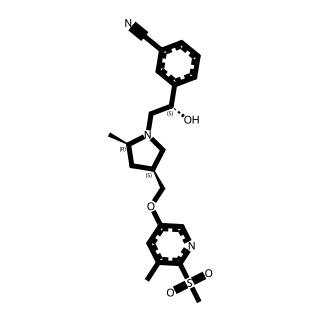 Cc1cc(OC[C@H]2C[C@@H](C)N(C[C@@H](O)c3cccc(C#N)c3)C2)cnc1S(C)(=O)=O